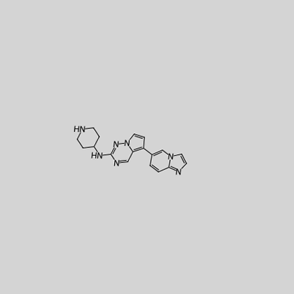 c1cn2cc(-c3ccn4nc(NC5CCNCC5)ncc34)ccc2n1